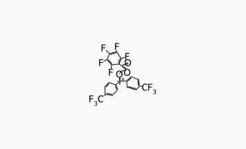 O=S(=O)(O[I+](c1ccc(C(F)(F)F)cc1)c1ccc(C(F)(F)F)cc1)c1c(F)c(F)c(F)c(F)c1F